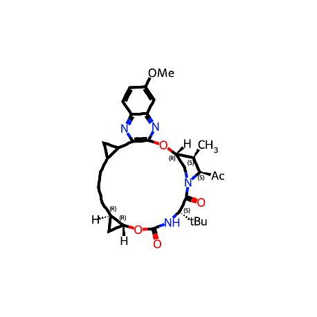 COc1ccc2nc3c(nc2c1)O[C@H]1CN(C(=O)[C@H](C(C)(C)C)NC(=O)O[C@@H]2C[C@H]2CCCC2CC32)[C@H](C(C)=O)[C@@H]1C